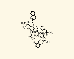 CC(C)[C@H](NC(=O)c1ccc2ccccc2n1)C(=O)N[C@@H](CCC(=O)O)C(=O)N[C@H](C(=O)N1CCC(CC(C)(C)C)[C@H]1C(=O)N[C@@H](CC(=O)O)C(=O)COc1c(F)cccc1F)C(C)C